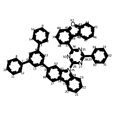 c1ccc(-c2cc(-c3ccccc3)cc(-c3ccc4c5ccccc5n(-c5nc(-c6ccccc6)nc(-c6cccc7oc8ccccc8c67)n5)c4c3)c2)cc1